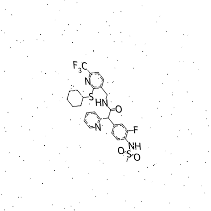 CS(=O)(=O)Nc1ccc(C(C(=O)NCc2ccc(C(F)(F)F)nc2SC2CCCCC2)c2ccccn2)cc1F